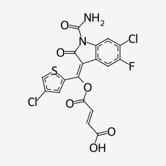 NC(=O)N1C(=O)C(=C(OC(=O)C=CC(=O)O)c2cc(Cl)cs2)c2cc(F)c(Cl)cc21